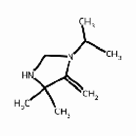 C=C1N(C(C)C)CNC1(C)C